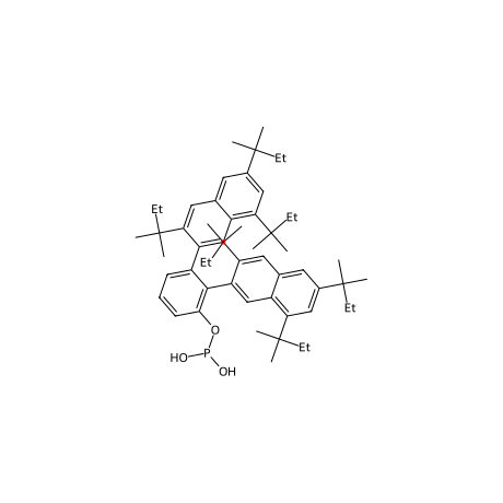 CCC(C)(C)c1cc(C(C)(C)CC)c2cc(-c3cccc(OP(O)O)c3-c3cc4c(C(C)(C)CC)cc(C(C)(C)CC)cc4cc3C(C)(C)CC)c(C(C)(C)CC)cc2c1